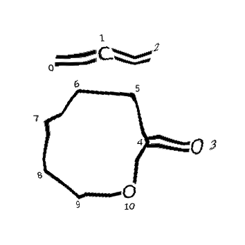 C=C=C.O=C1CCCCCO1